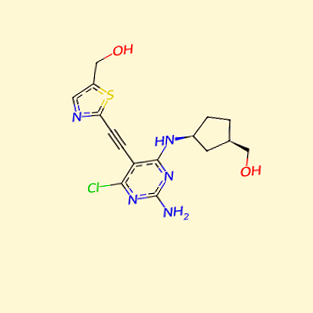 Nc1nc(Cl)c(C#Cc2ncc(CO)s2)c(N[C@H]2CC[C@@H](CO)C2)n1